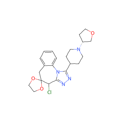 ClC1c2nnc(C3CCN([C@@H]4CCOC4)CC3)n2-c2ccccc2CC12OCCO2